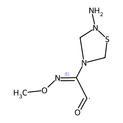 CO/N=C(\[C]=O)N1CSN(N)C1